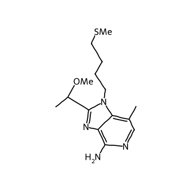 COC(C)c1nc2c(N)ncc(C)c2n1CCCCSC